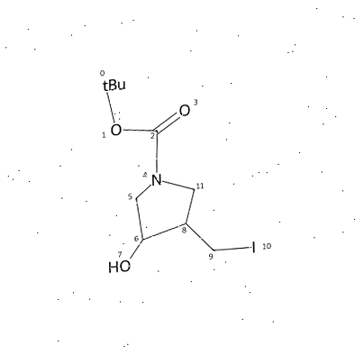 CC(C)(C)OC(=O)N1CC(O)C(CI)C1